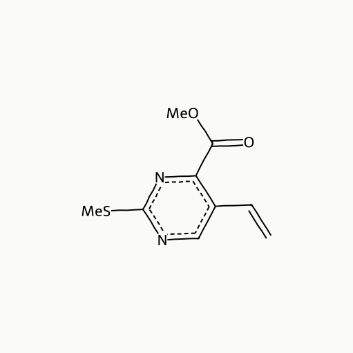 C=Cc1cnc(SC)nc1C(=O)OC